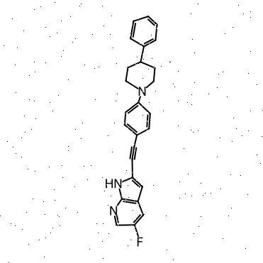 Fc1cnc2[nH]c(C#Cc3ccc(N4CCC(c5ccccc5)CC4)cc3)cc2c1